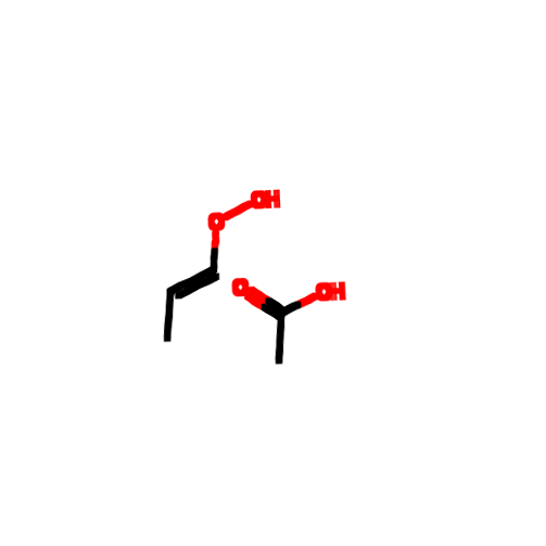 CC(=O)O.CC=COO